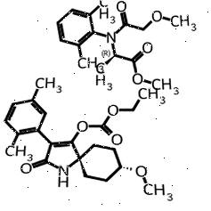 CCOC(=O)OC1=C(c2cc(C)ccc2C)C(=O)N[C@]12CC[C@@H](OC)CC2.COCC(=O)N(c1c(C)cccc1C)[C@H](C)C(=O)OC